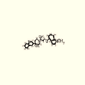 Cn1ccc2c(OCCC(O)N3CCC(O)(c4cnc5ccccc5c4)CC3)cccc21